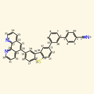 N#Cc1ccc(-c2cccc(-c3ccc4sc5ccc(-c6cc7cccnc7c7ncccc67)cc5c4c3)c2)cc1